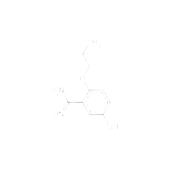 CCCOc1ccc(O)cc1C(=N)N